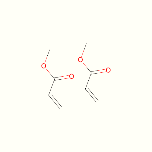 C=CC(=O)OC.C=CC(=O)OC